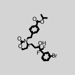 CC(C)OC(=O)c1ccc(CCN2C(=O)OCC[C@@H]2CC[C@@H](O)C(F)(F)c2cccc(Br)c2)cc1